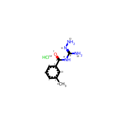 Cc1cccc(C(=O)NC(N)=NN)c1.Cl